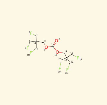 O=C(OCC(CF)(CF)CF)OCC(CF)(CF)CF